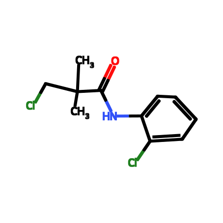 CC(C)(CCl)C(=O)Nc1ccccc1Cl